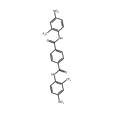 O=C(Nc1ccc([N+](=O)[O-])cc1C(F)(F)F)c1ccc(C(=O)Nc2ccc([N+](=O)[O-])cc2C(F)(F)F)cc1